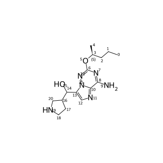 CCC[C@H](C)Oc1nc(N)c2ncc(C(O)C3CCNC3)n2n1